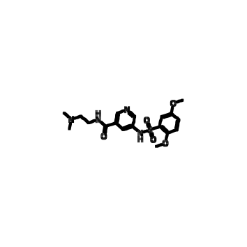 COc1ccc(OC)c(S(=O)(=O)Nc2cncc(C(=O)NCCN(C)C)c2)c1